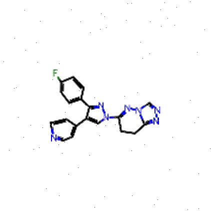 Fc1ccc(-c2nn(C3=Nn4cnnc4CC3)cc2-c2ccncc2)cc1